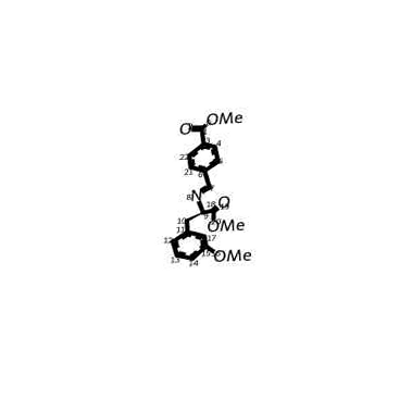 COC(=O)c1ccc(/C=N/[C@H](Cc2cccc(OC)c2)C(=O)OC)cc1